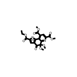 CCOC(=O)c1cc2c([nH]1)-c1c(C(=O)OC)cc(C(=O)OC)nc1C(OC)(OC)C2=O